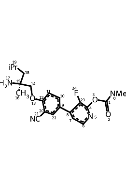 CNC(=O)Oc1nccc(-c2ccc(OC[C@@](C)(N)CC(C)C)c(C#N)c2)c1F